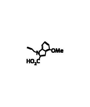 C=CCn1c(C(=O)O)cc2c(OC)cccc21